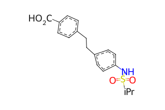 CC(C)S(=O)(=O)Nc1ccc(CCc2ccc(C(=O)O)cc2)cc1